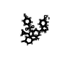 CC1CCC(C(C)C)C([C@H](NS(=O)(=O)c2ccc(F)cc2)C2CC2)(N2CCN(c3csc4cc(C(F)(F)F)ccc34)CC2)C1